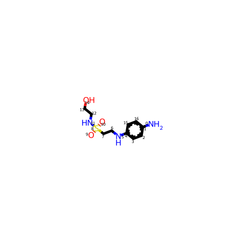 Nc1ccc(NCCS(=O)(=O)NCCO)cc1